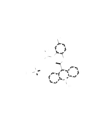 C[n+]1c2ccccc2c(C(=S)Oc2ccc(C(C)(C)C)cc2O[SiH](C)C)c2ccccc21.O=S(=O)([O-])C(F)(F)F